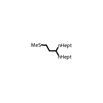 CCCCCCCC(CCCCCCC)CCSC